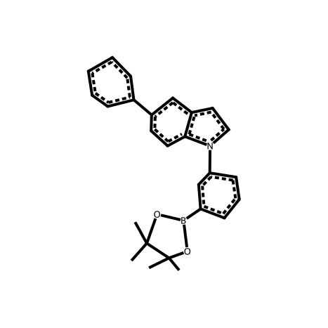 CC1(C)OB(c2cccc(-n3ccc4cc(-c5ccccc5)ccc43)c2)OC1(C)C